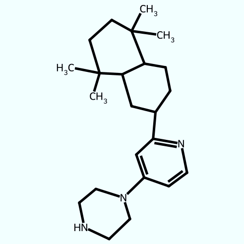 CC1(C)CCC(C)(C)C2CC(c3cc(N4CCNCC4)ccn3)CCC21